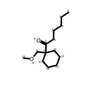 CCCCCC(=O)C1(COC)CCCCC1